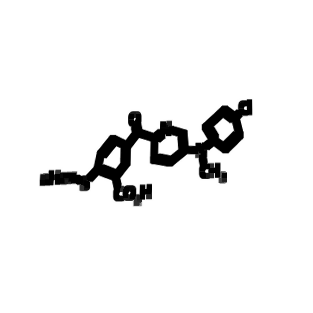 CCCCCCSc1ccc(C(=O)c2ccc(N(C)c3ccc(Cl)cc3)cn2)cc1C(=O)O